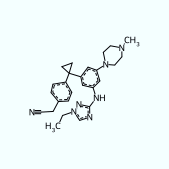 CCn1cnc(Nc2cc(N3CCN(C)CC3)cc(C3(c4ccc(CC#N)cc4)CC3)c2)n1